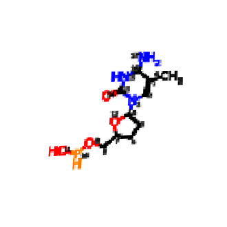 CC1=CN([C@H]2CC[C@@H](COPO)O2)C(=O)NC1N